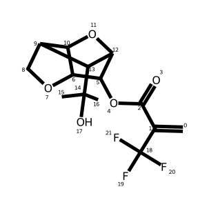 C=C(C(=O)OC1C2OCC3C2OC1C3C(C)(C)O)C(F)(F)F